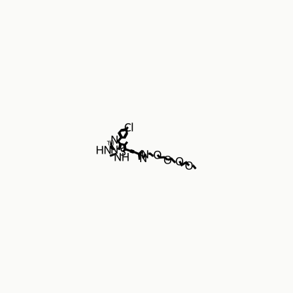 CCOCCOCCOCCOCCn1cc(C#Cc2sc3c(c2C)C(c2ccc(Cl)cc2)=N[C@@H](C)C(=N)N3C(C)=N)cn1